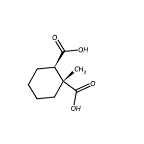 C[C@@]1(C(=O)O)CCCC[C@H]1C(=O)O